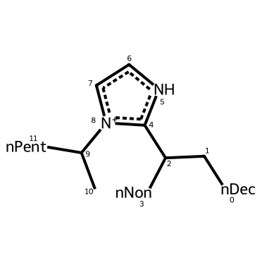 CCCCCCCCCCCC(CCCCCCCCC)c1[nH]cc[n+]1C(C)CCCCC